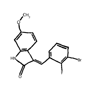 COc1ccc2c(c1)NC(=O)/C2=C/c1cccc(Br)c1F